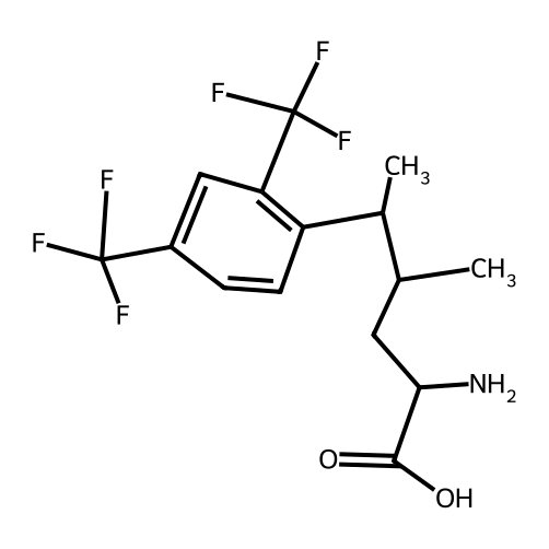 CC(CC(N)C(=O)O)C(C)c1ccc(C(F)(F)F)cc1C(F)(F)F